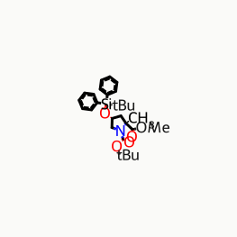 COC(=O)[C@]1(C)C[C@@H](O[Si](c2ccccc2)(c2ccccc2)C(C)(C)C)CN1C(=O)OC(C)(C)C